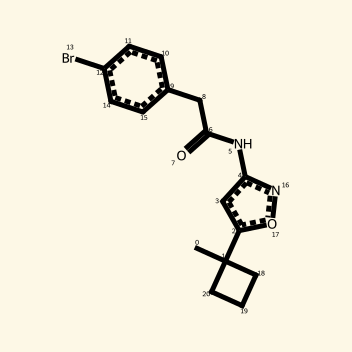 CC1(c2cc(NC(=O)Cc3ccc(Br)cc3)no2)CCC1